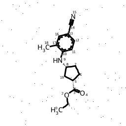 CCOC(=O)[C@H]1CC[C@@H](Nc2ccc(C#N)cc2C)C1